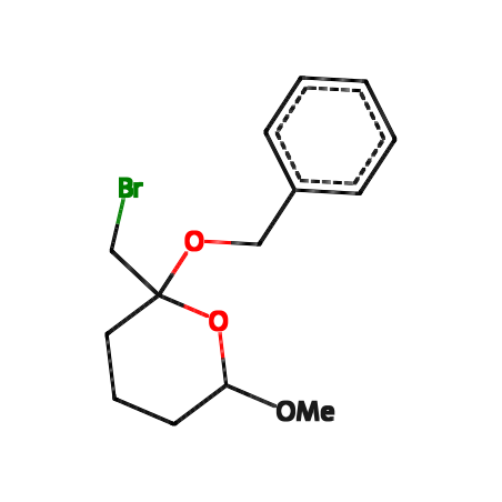 COC1CCCC(CBr)(OCc2ccccc2)O1